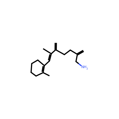 C=C(CN)CCC(=C)/C(C)=C/C1=C(C)CCCC1